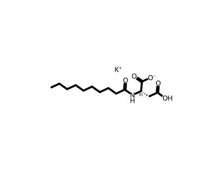 CCCCCCCCCC(=O)N[C@@H](CC(=O)O)C(=O)[O-].[K+]